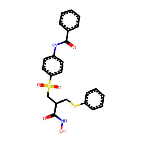 O=C(Nc1ccc(S(=O)(=O)CC(CSc2ccccc2)C(=O)NO)cc1)c1ccccc1